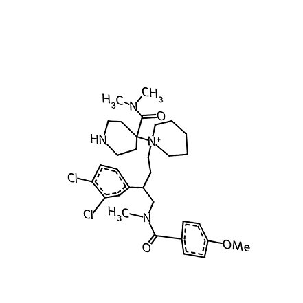 COc1ccc(C(=O)N(C)CC(CC[N+]2(C3(C(=O)N(C)C)CCNCC3)CCCCC2)c2ccc(Cl)c(Cl)c2)cc1